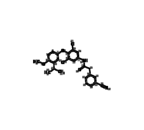 COc1ccc(Oc2c(Cl)cc(NC(=O)Cc3cccc(C#N)c3)cc2Cl)cc1C(C)C